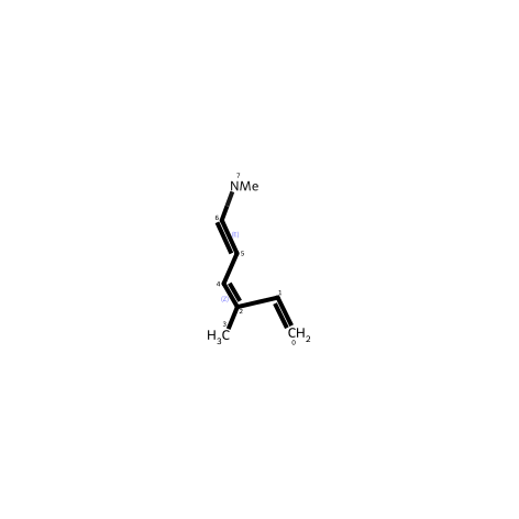 C=C/C(C)=C\C=C\NC